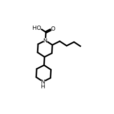 CCCCC1CC(C2CCNCC2)CCN1C(=O)O